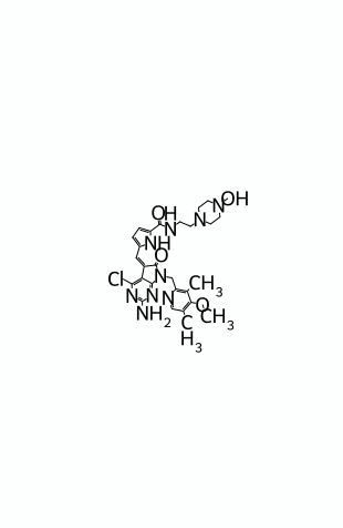 COc1c(C)cnc(CN2C(=O)/C(=C\c3ccc(C(=O)NCCN4CCN(O)CC4)[nH]3)c3c(Cl)nc(N)nc32)c1C